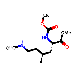 COC(=O)[C@H](C[C@@H](C)CCNC=O)NC(=O)OC(C)(C)C